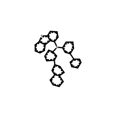 c1ccc(-c2cccc(N(c3cccc(-c4ccc5ccccc5c4)c3)c3cccc4sc5ccccc5c34)c2)cc1